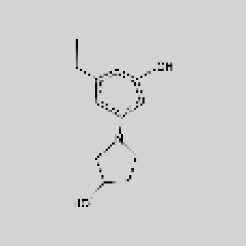 CCc1cc(O)cc(N2CCC(O)C2)c1